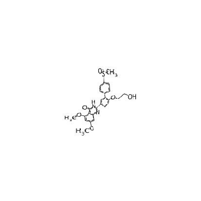 COc1cc(OC)c2c(=O)[nH]c(-c3ccc(OCCO)c(-c4ccc([S+](C)[O-])cc4)c3)nc2c1